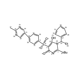 CCCCc1nc(=O)c(S(=O)(=O)c2ccc(-c3cnc(C)nc3)cc2)c(O)n1C(CC)c1ccccc1